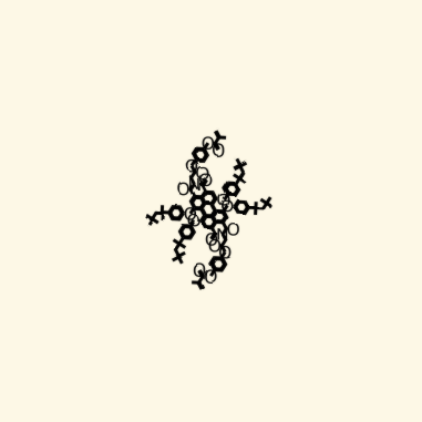 C=C(C)C(=O)Oc1ccc(OC(=O)CN2C(=O)c3cc(Oc4ccc(C(C)(C)CC(C)(C)C)cc4)c4c5c(Oc6ccc(C(C)(C)CC(C)(C)C)cc6)cc6c7c(cc(Oc8ccc(C(C)(C)CC(C)(C)C)cc8)c(c8c(Oc9ccc(C(C)(C)CC(C)(C)C)cc9)cc(c3c48)C2=O)c75)C(=O)N(CC(=O)Oc2ccc(OC(=O)C(=C)C)cc2)C6=O)cc1